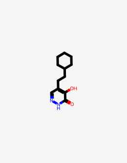 O=c1[nH]ncc(CCC2CCCCC2)c1O